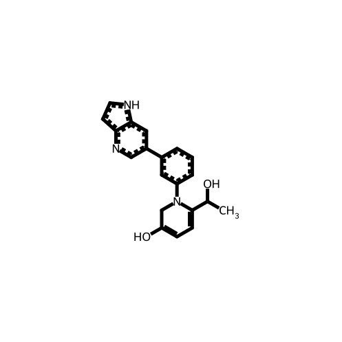 CC(O)C1=CC=C(O)CN1c1cccc(-c2cnc3cc[nH]c3c2)c1